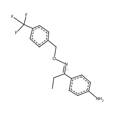 CC/C(=N\OCc1ccc(C(F)(F)F)cc1)c1ccc(N)cc1